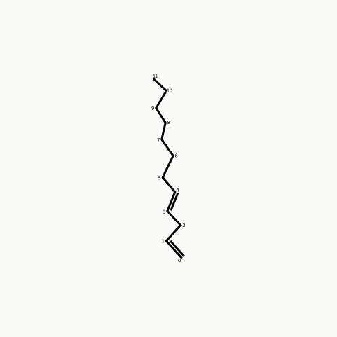 C=CC/C=C/CCCCCCC